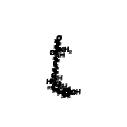 C[C@@H](C[C@@H](N)Cc1ccc(O)cc1)C(=O)NNOCCSSCCNC(=O)[C@@H](N)CCC=O